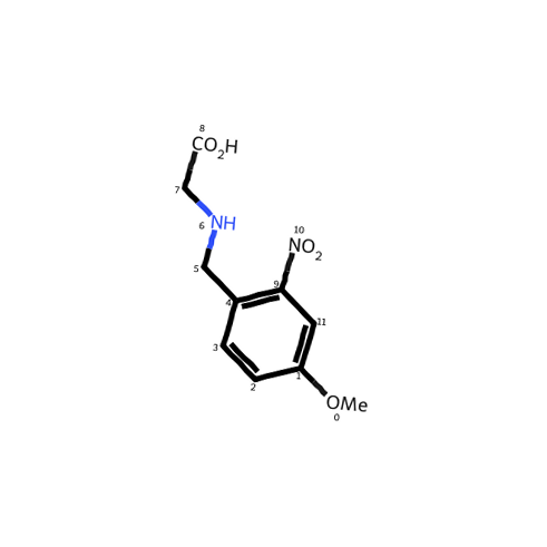 COc1ccc(CNCC(=O)O)c([N+](=O)[O-])c1